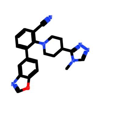 Cn1cnnc1C1CCN(c2c(C#N)cccc2-c2ccc3ocnc3c2)CC1